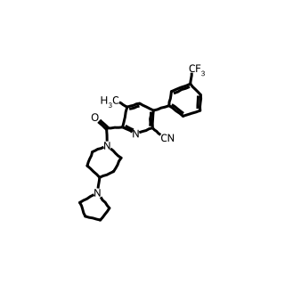 Cc1cc(-c2cccc(C(F)(F)F)c2)c(C#N)nc1C(=O)N1CCC(N2CCCC2)CC1